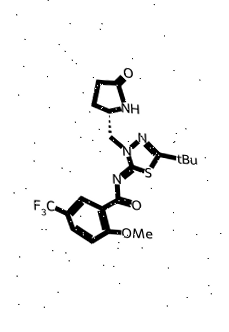 COc1ccc(C(F)(F)F)cc1C(=O)/N=c1\sc(C(C)(C)C)nn1C[C@@H]1CCC(=O)N1